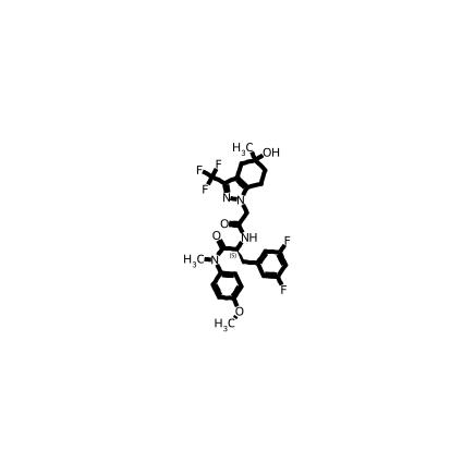 COc1ccc(N(C)C(=O)[C@H](Cc2cc(F)cc(F)c2)NC(=O)Cn2nc(C(F)(F)F)c3c2CCC(C)(O)C3)cc1